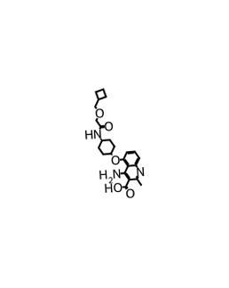 Cc1nc2cccc(O[C@H]3CC[C@H](NC(=O)COCC4CCC4)CC3)c2c(N)c1C(=O)O